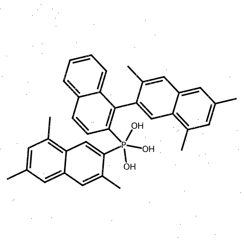 Cc1cc(C)c2cc(-c3c(P(O)(O)(O)c4cc5c(C)cc(C)cc5cc4C)ccc4ccccc34)c(C)cc2c1